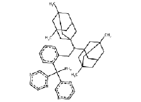 CC12CC3CC(C)(C1)CC(P(Cc1ccccc1C(P)(c1cnccn1)c1cnccn1)C14CC5CC(C)(CC(C)(C5)C1)C4)(C3)C2